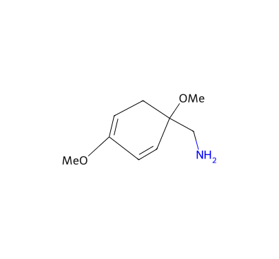 COC1=CCC(CN)(OC)C=C1